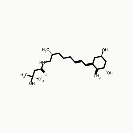 C=C1C(=CC=CCCC[C@@H](C)CNC(=O)C[C@](C)(O)C(F)(F)F)C[C@@H](O)C[C@@H]1O